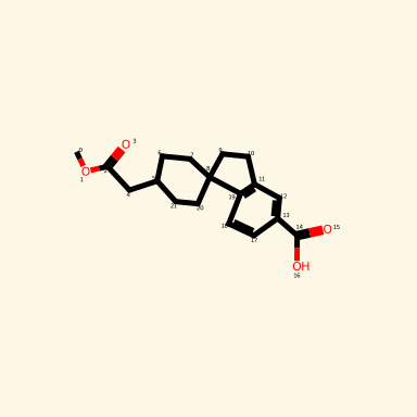 COC(=O)CC1CCC2(CCc3cc(C(=O)O)ccc32)CC1